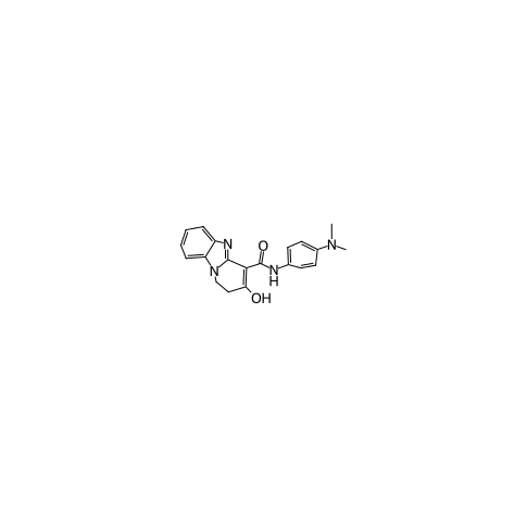 CN(C)c1ccc(NC(=O)C2=C(O)CCn3c2nc2ccccc23)cc1